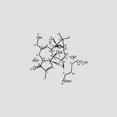 CC1=C[C@H]2[C@@]3(O)[C@H](C)[C@@H](O)[C@]4(O)[C@H]([C@@H]3C=C(CO)C[C@]2(O)C1=O)C4(C)C.CCCCCCCCCCCCCC(=O)O